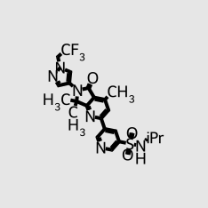 Cc1cc(-c2cncc(S(=O)(=O)NC(C)C)c2)nc2c1C(=O)N(c1cnn(CC(F)(F)F)c1)C2(C)C